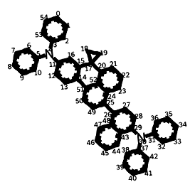 c1ccc(N(c2ccccc2)c2ccc3c(c2)C2(CC2)c2cccc4c(-c5ccc(N(c6ccccc6)c6ccccc6)c6ccccc56)ccc-3c24)cc1